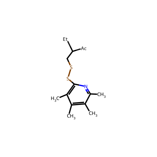 CCC(CSSc1nc(C)c(C)c(C)c1C)C(C)=O